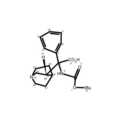 CC(C)(C)OC(=O)NC(C(=O)O)(c1ccccc1)[C@H]1CN2CCC1CC2